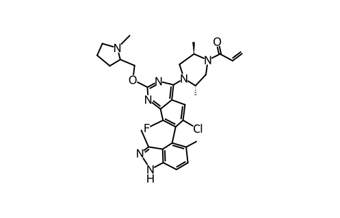 C=CC(=O)N1C[C@H](C)N(c2nc(OCC3CCCN3C)nc3c(F)c(-c4c(C)ccc5[nH]nc(C)c45)c(Cl)cc23)C[C@H]1C